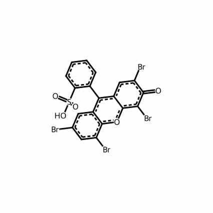 O=c1c(Br)cc2c(-c3ccccc3S(=O)(=O)O)c3cc(Br)cc(Br)c3oc-2c1Br